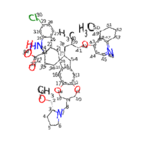 COC[C@H]1CCCN1CC1COc2cc3c(cc2OC1)C1(CCC(Nc2cccc(Cl)c2)(C(=O)O)CC1)[C@@H](C[C@@H](C)COc1ccnc2c1[C@H](C)CCC2)C3